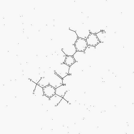 CCc1cc(-c2cc(NC(=O)Nc3cc(C(F)(F)F)ccc3C(F)(F)F)nn2C)cc2cnc(N)nc12